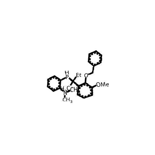 CCC(C)(Pc1ccccc1N(C)C)c1cccc(OC)c1OCc1ccccc1